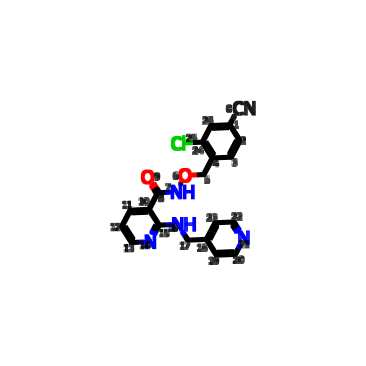 N#Cc1ccc(CONC(=O)c2cccnc2NCc2ccncc2)c(Cl)c1